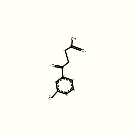 O=C(O)CCC(=O)c1cccc(Cl)c1